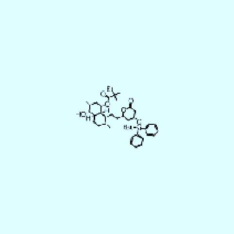 CCC(C)(C)C(=O)O[C@H]1C[C@@H](C)[C@@H](O)[C@@H]2CC[C@H](C)[C@H](CC[C@@H]3C[C@@H](O[Si](c4ccccc4)(c4ccccc4)C(C)(C)C)CC(=O)O3)[C@H]21